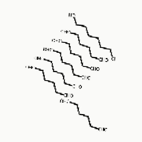 O=CCCCCC=O.O=CCCCCC=O.O=CCCCCC=O.O=CCCCCC=O.O=CCCCCC=O.O=CCCCCC=O.OCCCCCCO